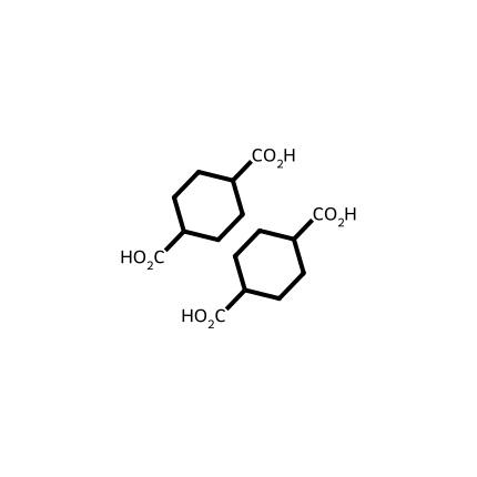 O=C(O)C1CCC(C(=O)O)CC1.O=C(O)C1CCC(C(=O)O)CC1